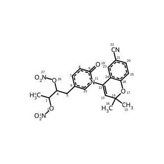 CC(O[N+](=O)[O-])C(Cc1ccc(=O)n(C2=CC(C)(C)Oc3ccc(C#N)cc32)c1)O[N+](=O)[O-]